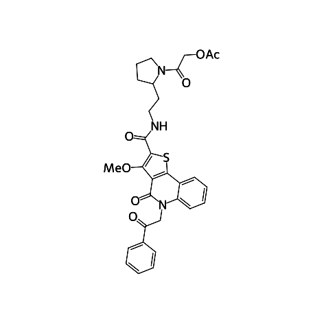 COc1c(C(=O)NCCC2CCCN2C(=O)COC(C)=O)sc2c1c(=O)n(CC(=O)c1ccccc1)c1ccccc21